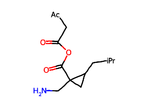 CC(=O)CC(=O)OC(=O)C1(CN)CC1CC(C)C